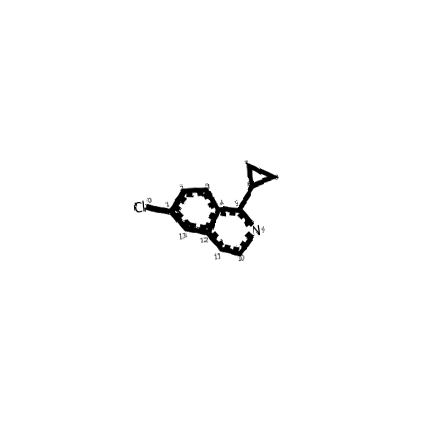 Clc1ccc2c(C3CC3)nccc2c1